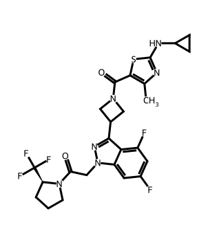 Cc1nc(NC2CC2)sc1C(=O)N1CC(c2nn(CC(=O)N3CCC[C@H]3C(F)(F)F)c3cc(F)cc(F)c23)C1